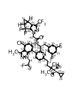 Cc1nn(CC(F)F)c2c(-c3ccc(CCC(C)(C)S(=O)(=O)C4CC4)nc3[C@H](Cc3cc(F)cc(F)c3)NC(=O)Cn3nc(C(F)(F)F)c4c3C(F)(F)[C@@H]3C[C@H]43)ccc(Cl)c12